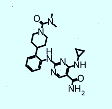 CN(C)C(=O)N1CCC(c2ccccc2Nc2ncc(C(N)=O)c(NC3CC3)n2)CC1